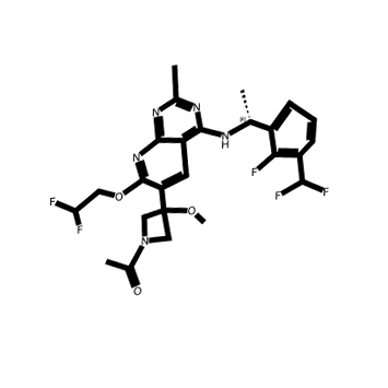 COC1(c2cc3c(N[C@H](C)c4cccc(C(F)F)c4F)nc(C)nc3nc2OCC(F)F)CN(C(C)=O)C1